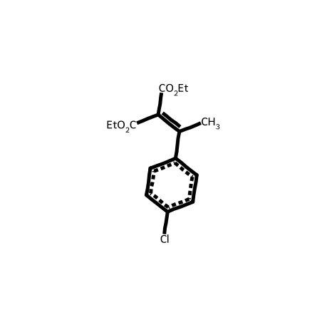 CCOC(=O)C(C(=O)OCC)=C(C)c1ccc(Cl)cc1